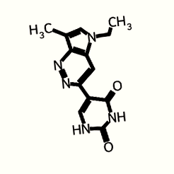 CCn1cc(C)c2nnc(-c3c[nH]c(=O)[nH]c3=O)cc21